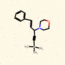 C[Si](C)(C)C#CC(/C=C/c1ccccc1)N1CCOCC1